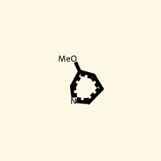 COc1[c]c[c]nc1